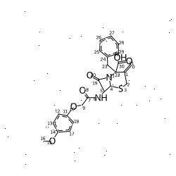 C=C1CSC2C(NC(=O)COc3ccc(OC)cc3)C(=O)N2C1(Cc1ccccc1)C(=O)O